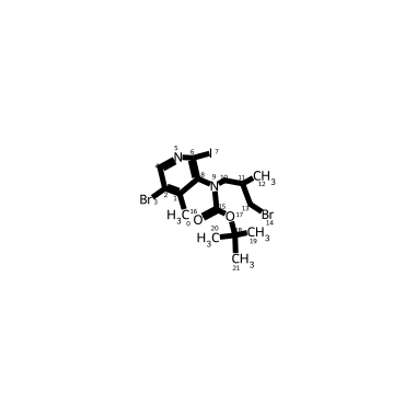 Cc1c(Br)cnc(I)c1N(CC(C)CBr)C(=O)OC(C)(C)C